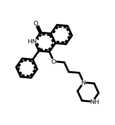 O=c1[nH]c(-c2ccccc2)c(OCCCN2CCNCC2)c2ccccc12